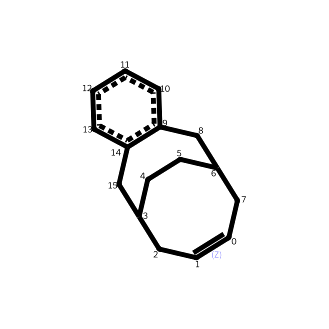 C1=C\CC2CCC(C/1)Cc1ccccc1C2